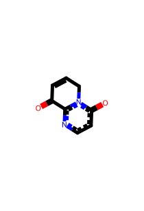 O=C1C=CCn2c1nccc2=O